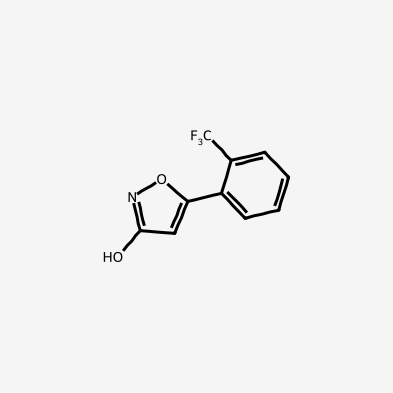 Oc1cc(-c2ccccc2C(F)(F)F)on1